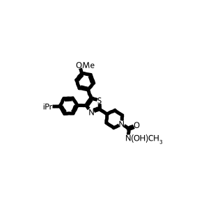 COc1ccc(-c2sc(C3CCN(C(=O)N(C)O)CC3)nc2-c2ccc(C(C)C)cc2)cc1